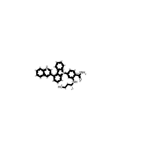 C[C@H](CCO)Nc1cc(-n2c3ccccc3c3c(-c4cnc5ccccc5c4)cccc32)ccc1C(N)=O